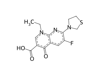 CCn1cc(C(=O)O)c(=O)c2cc(F)c(N3CCSC3)nc21